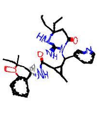 CCC1(CC)CC(=O)N(C(c2cccnc2)C2C(C)C2C(=O)N[C@H]2CC(C)(C)Oc3ccccc32)C(=N)N1